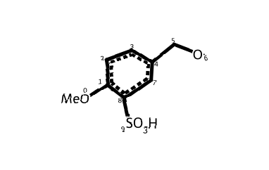 COc1ccc(C[O])cc1S(=O)(=O)O